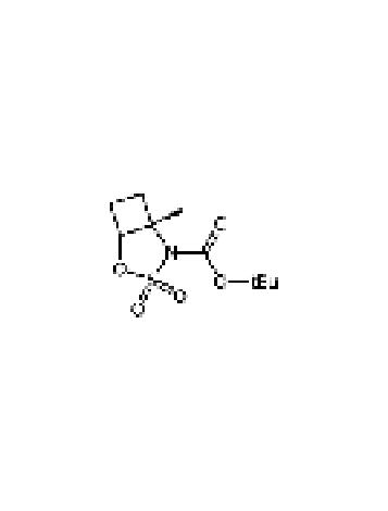 CC(C)(C)OC(=O)N1[C@@]2(C)CCC2OS1(=O)=O